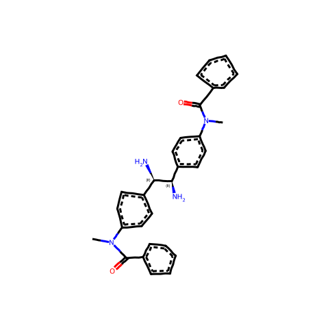 CN(C(=O)c1ccccc1)c1ccc([C@@H](N)[C@H](N)c2ccc(N(C)C(=O)c3ccccc3)cc2)cc1